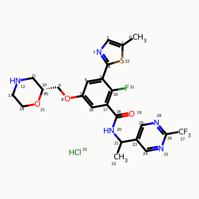 Cc1cnc(-c2cc(OC[C@H]3CNCCO3)cc(C(=O)NC(C)c3cnc(C(F)(F)F)nc3)c2F)s1.Cl